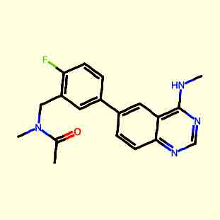 CNc1ncnc2ccc(-c3ccc(F)c(CN(C)C(C)=O)c3)cc12